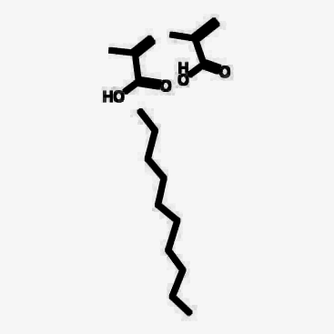 C=C(C)C(=O)O.C=C(C)C(=O)O.CCCCCCCCCC